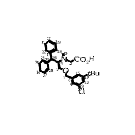 CN(CC(=O)O)C(COCc1cc(Cl)cc(C(C)(C)C)c1)C(c1ccccc1)c1ccccc1